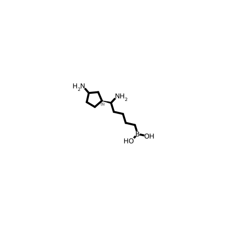 NC1CC[C@H](C(N)CCCCB(O)O)C1